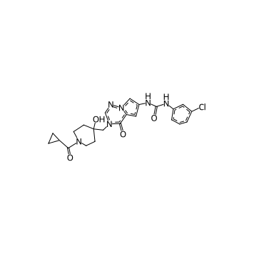 O=C(Nc1cccc(Cl)c1)Nc1cc2c(=O)n(CC3(O)CCN(C(=O)C4CC4)CC3)cnn2c1